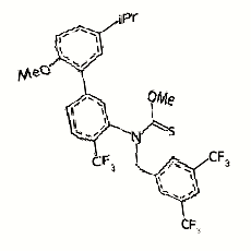 COC(=S)N(Cc1cc(C(F)(F)F)cc(C(F)(F)F)c1)c1cc(-c2cc(C(C)C)ccc2OC)ccc1C(F)(F)F